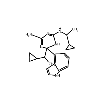 CC(NC1=NC(N)=NC(c2cccc3[nH]ccc23)(C(C)C2CC2)N1)C1CC1